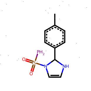 Cc1ccc(C2NC=CN2S(=O)(=O)P)cc1